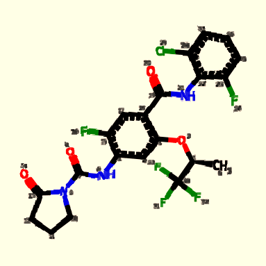 C[C@H](Oc1cc(NC(=O)N2CCCC2=O)c(F)cc1C(=O)Nc1c(F)cccc1Cl)C(F)(F)F